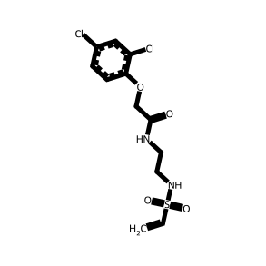 C=CS(=O)(=O)NCCNC(=O)COc1ccc(Cl)cc1Cl